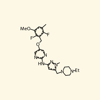 CCN1CCN(Cc2cc(Nc3ncc(OCc4c(F)c(C)cc(OC)c4F)cn3)nn2C)CC1